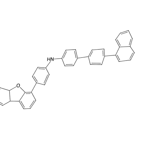 C1=CC2Oc3c(-c4ccc(Nc5ccc(-c6ccc(-c7cccc8ccccc78)cc6)cc5)cc4)cccc3C2C=C1